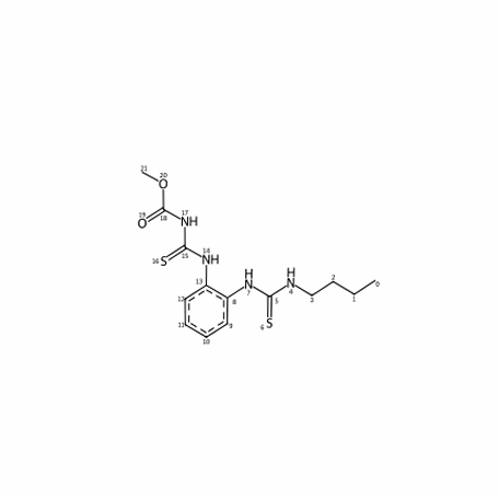 CCCCNC(=S)Nc1ccccc1NC(=S)NC(=O)OC